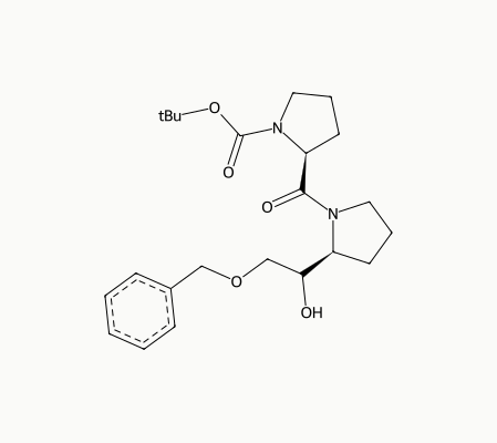 CC(C)(C)OC(=O)N1CCC[C@H]1C(=O)N1CCC[C@H]1C(O)COCc1ccccc1